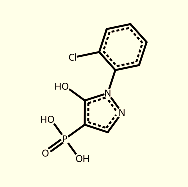 O=P(O)(O)c1cnn(-c2ccccc2Cl)c1O